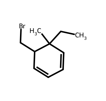 CCC1(C)C=CC=CC1CBr